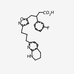 O=C(O)CC(Cc1cc(CCCc2ccc3c(n2)NCCC3)no1)c1cccc(F)c1